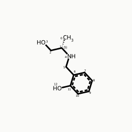 C[C@@H](CO)NCc1ccccc1O